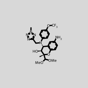 COC(OC)[C@@]1(C)Oc2ccc(N)cc2[C@@H](N(Cc2nnn(C)n2)c2ccc(OC(F)(F)F)cc2)[C@@H]1O